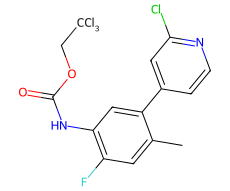 Cc1cc(F)c(NC(=O)OCC(Cl)(Cl)Cl)cc1-c1ccnc(Cl)c1